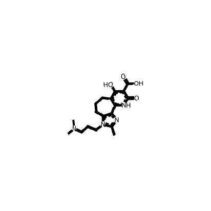 Cc1nc2c(n1CCCN(C)C)CCCc1c-2[nH]c(=O)c(C(=O)O)c1O